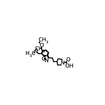 CCOCc1ccc2c(CCC3CCN(C(=O)O)CC3)noc2c1CN(C)C